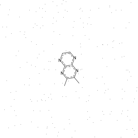 Cc1nc2nccnc2nc1C